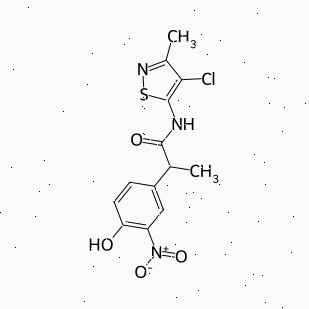 Cc1nsc(NC(=O)C(C)c2ccc(O)c([N+](=O)[O-])c2)c1Cl